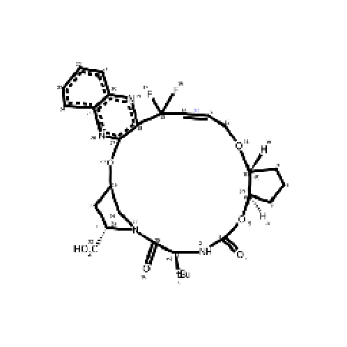 CC(C)(C)[C@@H]1NC(=O)O[C@@H]2CCC[C@H]2OC/C=C/C(F)(F)c2nc3ccccc3nc2OC2C[C@@H](C(=O)O)N(C2)C1=O